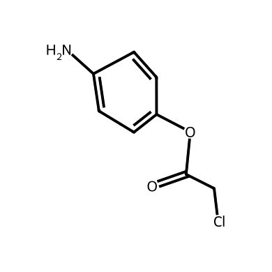 Nc1ccc(OC(=O)CCl)cc1